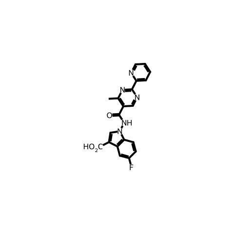 Cc1nc(-c2ccccn2)ncc1C(=O)Nn1cc(C(=O)O)c2cc(F)ccc21